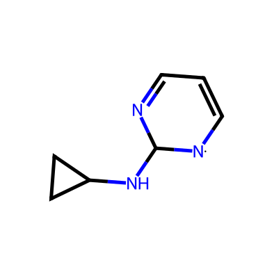 C1=C[N]C(NC2CC2)N=C1